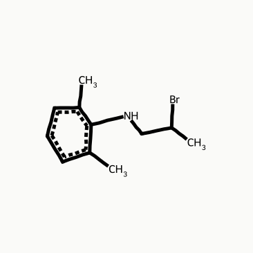 Cc1cccc(C)c1NCC(C)Br